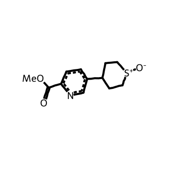 COC(=O)c1ccc(C2CC[S+]([O-])CC2)cn1